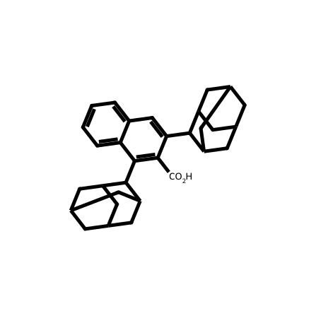 O=C(O)c1c(C2C3CC4CC(C3)CC2C4)cc2ccccc2c1C1C2CC3CC(C2)CC1C3